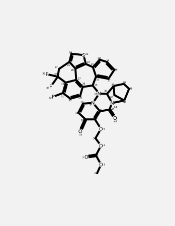 COC(=O)OCOc1c2n(ccc1=O)N(C1c3ccccc3-c3scc4c3-c3c1ccc(F)c3C(F)(F)C4)C1C3CCC(C3)N1C2=O